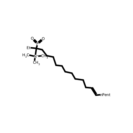 CCCCCC=CCCCCCCCCCCC(CC)(P(=O)=O)[N+](C)(C)C